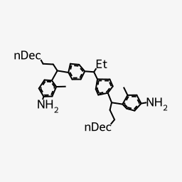 CCCCCCCCCCCCC(c1ccc(C(CC)c2ccc(C(CCCCCCCCCCCC)c3ccc(N)cc3C)cc2)cc1)c1ccc(N)cc1C